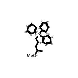 COC(C)CCC[PH](c1ccccc1)(c1ccccc1)c1ccccc1